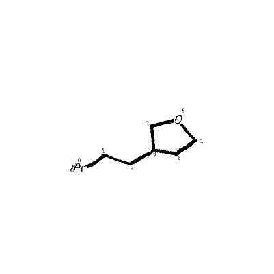 CC(C)CCC1CCOC1